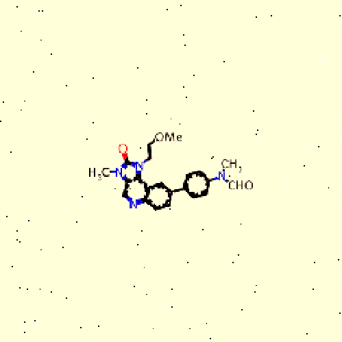 COCCn1c(=O)n(C)c2cnc3ccc(-c4ccc(N(C)C=O)cc4)cc3c21